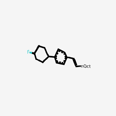 CCCCCCCCC=Cc1ccc(C2CCC(F)CC2)cc1